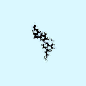 C=Cc1cc(Nc2c(C3CC3)nc(N3CCN(C(=O)CCOC)[C@H](C(C)C)C3)c(N)c2C)ccn1